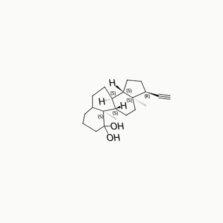 C#C[C@@H]1CC[C@H]2[C@@H]3CCC4CCCC(O)(O)[C@]4(C)[C@H]3CC[C@]12C